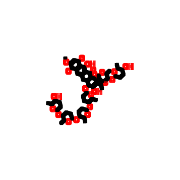 COC1=CC(=O)c2c(cc3c(c2O)C(=O)C2(OC4CCC(OC5CCC(O)C(C)O5)C(C)O4)C(=O)C(C(C)=O)=C(O)C(OC4CCC(OC5CCC(OC6CCC(OC7CCC(O)C(C)O7)C(C)O6)C(C)O5)C(C)O4)C2C3)C1=O